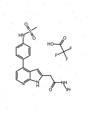 CC(C)NC(=O)Cc1cc2c(-c3ccc(NS(C)(=O)=O)cc3)ccnc2[nH]1.O=C(O)C(F)(F)F